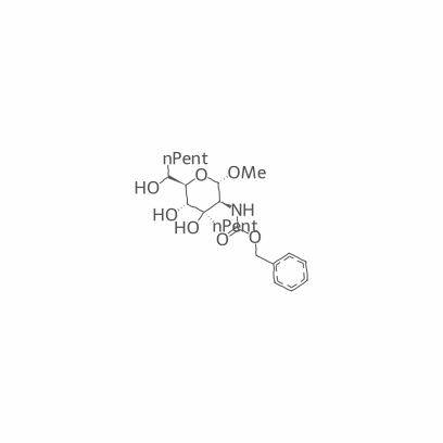 CCCCCC(O)[C@H]1O[C@H](OC)[C@@H](NC(=O)OCc2ccccc2)[C@](O)(CCCCC)[C@@H]1O